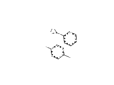 Cc1ccc(S(=O)(=O)O)cc1.c1ccc(C2OO2)cc1